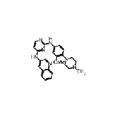 COc1cc(Nc2nccc(Nc3cnc4ccccc4c3)n2)ccc1N1CCN(C)CC1